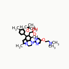 Cc1ccc(-c2c([C@H](OC(C)(C)C)C(=O)O)c(C)c3c4c2cc(C)n4CCN3c2ncc(OCCN(C)C)cn2)cc1